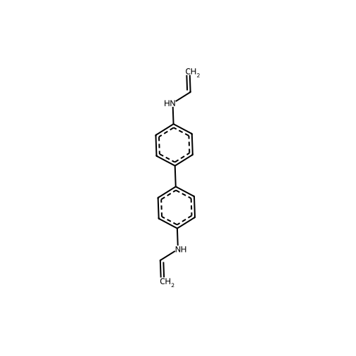 C=CNc1ccc(-c2ccc(NC=C)cc2)cc1